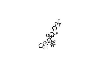 C[C@@](CCn1cc(F)c(-c2ccc(OC(F)F)cc2)cc1=O)(C(=O)NOC1CCCCO1)S(C)(=O)=O